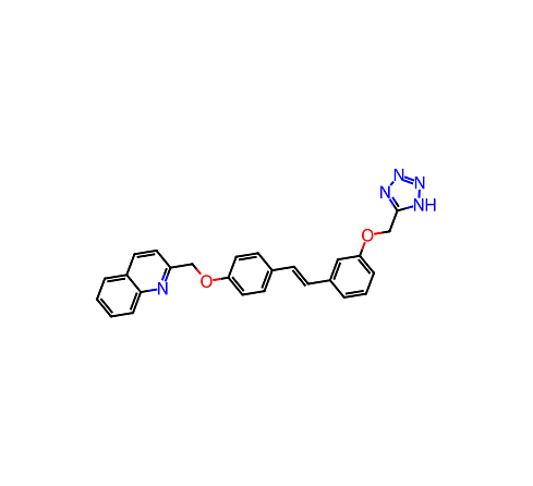 C(=C\c1cccc(OCc2nnn[nH]2)c1)/c1ccc(OCc2ccc3ccccc3n2)cc1